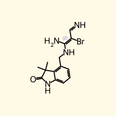 CC1(C)C(=O)Nc2cccc(CN/C(N)=C(\Br)C=N)c21